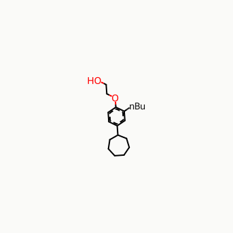 CCCCc1cc(C2CCCCCC2)ccc1OCCO